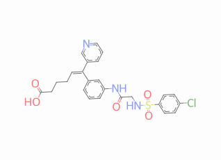 O=C(O)CCCC=C(c1cccnc1)c1cccc(NC(=O)CNS(=O)(=O)c2ccc(Cl)cc2)c1